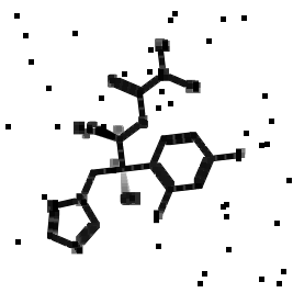 CCN(CC)C(=S)S[C@H](C)[C@](O)(Cn1cncn1)c1ccc(F)cc1F